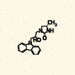 C[C@H]1CN(CC(O)Cn2c3ccccc3c3ccccc32)C(=O)N1